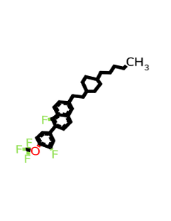 CCCCCC1CCC(CCc2ccc3c(F)c(-c4ccc(OC(F)(F)F)c(F)c4)ccc3c2)CC1